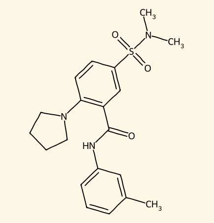 Cc1cccc(NC(=O)c2cc(S(=O)(=O)N(C)C)ccc2N2CCCC2)c1